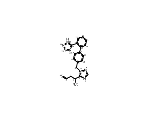 CCC(CC=S)c1ncnn1Cc1ccc(-c2ccccc2-c2nnn[nH]2)cc1